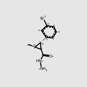 C[C@@H]1C(C(=O)NN)[C@H]1c1cccc(Br)c1